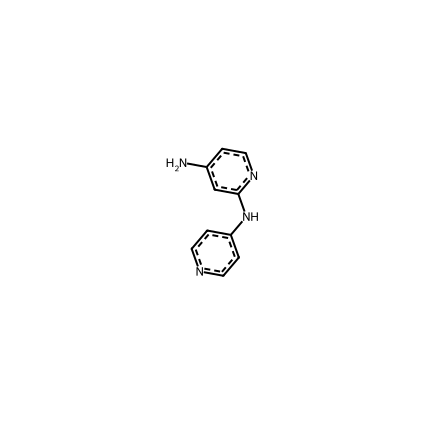 Nc1ccnc(Nc2ccncc2)c1